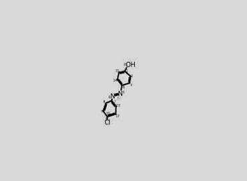 Oc1ccc(/N=N/c2ccc(Cl)cc2)cc1